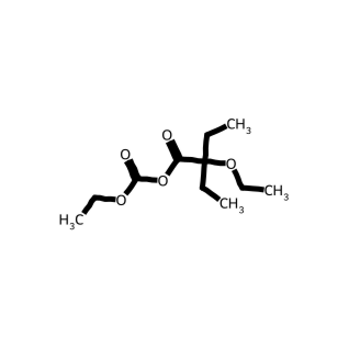 CCOC(=O)OC(=O)C(CC)(CC)OCC